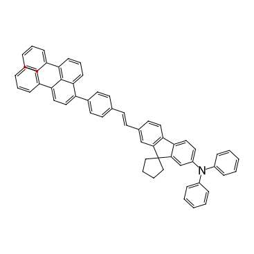 C(=C\c1ccc2c(c1)C1(CCCC1)c1cc(N(c3ccccc3)c3ccccc3)ccc1-2)/c1ccc(-c2ccc(-c3ccccc3)c3c(-c4ccccc4)cccc23)cc1